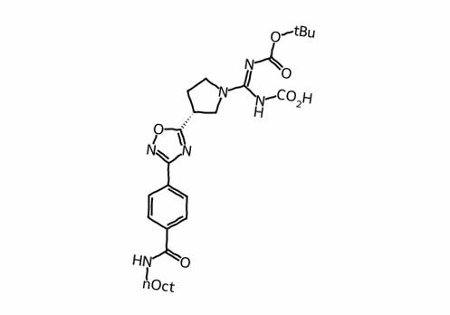 CCCCCCCCNC(=O)c1ccc(-c2noc([C@@H]3CCN(/C(=N/C(=O)OC(C)(C)C)NC(=O)O)C3)n2)cc1